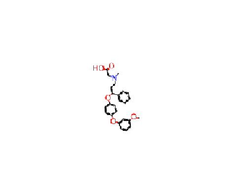 COc1cccc(Oc2ccc(OC(CCN(C)CC(=O)O)c3ccccc3)cc2)c1